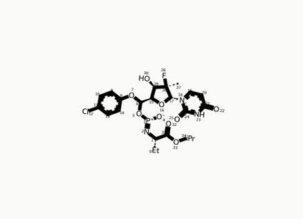 CC[C@H](/N=[P+](\[O-])OC(Oc1ccc(Cl)cc1)[C@@H]1O[C@@H](n2ccc(=O)[nH]c2=O)[C@](C)(F)[C@@H]1O)C(=O)OC(C)C